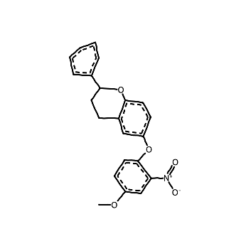 COc1ccc(Oc2ccc3c(c2)CCC(c2ccccc2)O3)c([N+](=O)[O-])c1